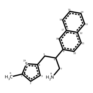 Cc1ccc(CC(CN)c2ccc3ccccc3c2)s1